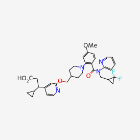 COc1ccc(C(=O)N(CC2CC2(F)F)c2ccccn2)c(N2CCC(COc3cc(C(CC(=O)O)C4CC4)ccn3)CC2)c1